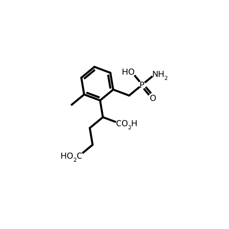 Cc1cccc(CP(N)(=O)O)c1C(CCC(=O)O)C(=O)O